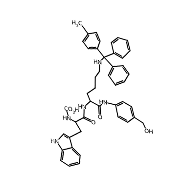 Cc1ccc(C(NCCCCC(NC(=O)C(Cc2c[nH]c3ccccc23)NC(=O)O)C(=O)Nc2ccc(CO)cc2)(c2ccccc2)c2ccccc2)cc1